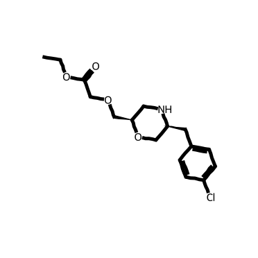 CCOC(=O)COC[C@H]1CN[C@@H](Cc2ccc(Cl)cc2)CO1